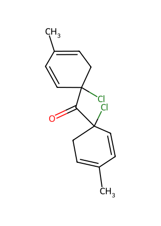 CC1=CCC(Cl)(C(=O)C2(Cl)C=CC(C)=CC2)C=C1